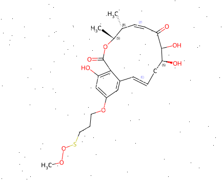 COOSCCCOc1cc(O)c2c(c1)/C=C/C[C@H](O)C(O)C(=O)/C=C\[C@@H](C)[C@H](C)OC2=O